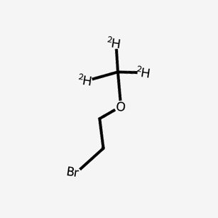 [2H]C([2H])([2H])OCCBr